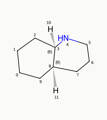 C1CC[C@H]2NCCC[C@H]2C1